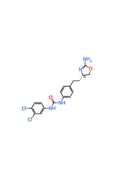 NC1=N[C@@H](CCc2ccc(NC(=O)Nc3ccc(Cl)c(Cl)c3)cc2)CO1